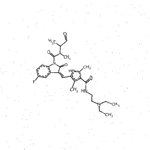 CCN(CC)CCNC(=O)c1c(C)[nH]c(/C=C2\C(=O)N(C(=O)C(C)C(C)C=O)c3ccc(F)cc32)c1C